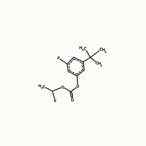 CC(F)OC(=O)Oc1cc(F)cc(C(C)(C)C)c1